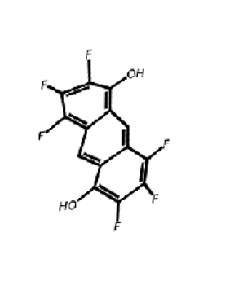 Oc1c(F)c(F)c(F)c2cc3c(O)c(F)c(F)c(F)c3cc12